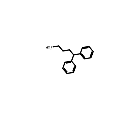 O=C(O)CCCC(c1ccccc1)c1ccccc1